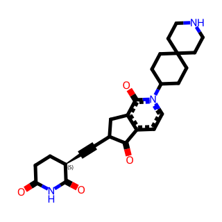 O=C1CC[C@@H](C#CC2Cc3c(ccn(C4CCC5(CCNCC5)CC4)c3=O)C2=O)C(=O)N1